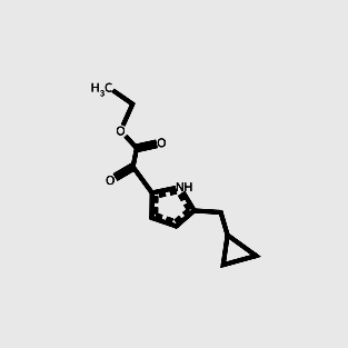 CCOC(=O)C(=O)c1ccc(CC2CC2)[nH]1